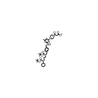 COC(=O)CC(=O)N1CCN(c2cc(C)nc(NCc3ccc(CN(CCCN(C(=O)OC(C)(C)C)C4CCCCC4)C(=O)OC(C)(C)C)cc3)n2)CC1